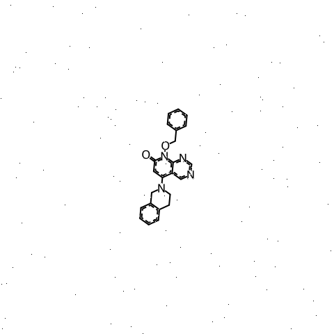 O=c1cc(N2CCc3ccccc3C2)c2cncnc2n1OCc1ccccc1